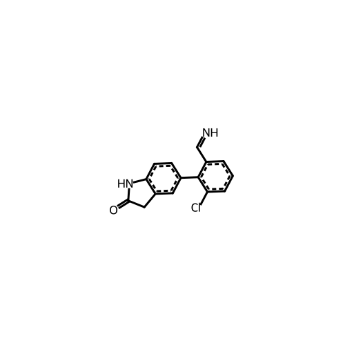 N=Cc1cccc(Cl)c1-c1ccc2c(c1)CC(=O)N2